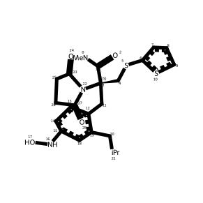 CNC(=O)[C@](CSc1cccs1)(Cc1ccc(NO)cc1CC(C)C)N1C(=O)CCC1=O